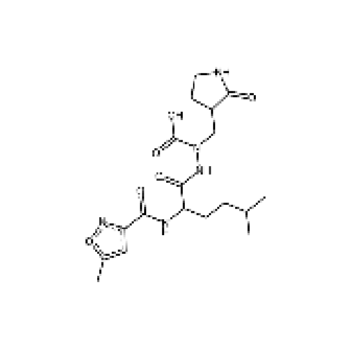 Cc1cc(C(=O)NC(CCC(C)C)C(=O)NN(CC2CCNC2=O)C(=O)O)no1